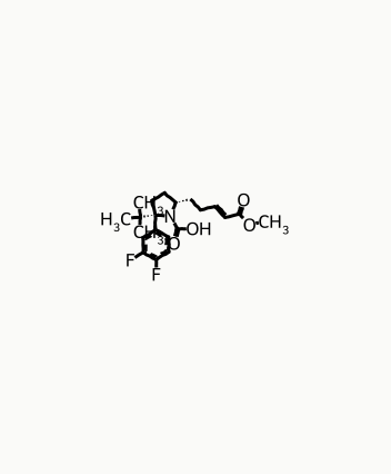 COC(=O)C=CCC[C@H]1CC[C@@](c2ccc(F)c(F)c2)(C(C)(C)C)N1C(=O)O